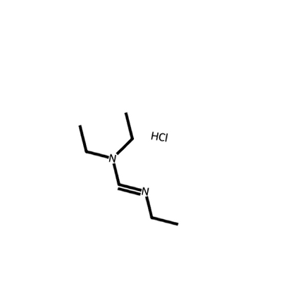 CCN=CN(CC)CC.Cl